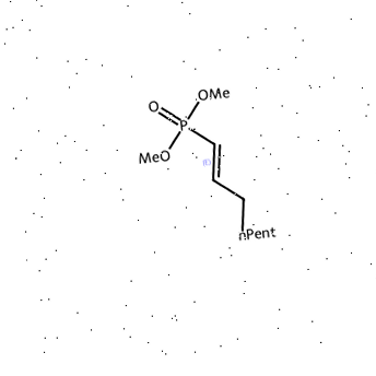 CCCCCC/C=C/P(=O)(OC)OC